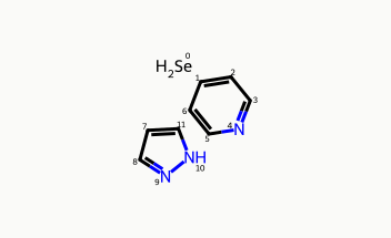 [SeH2].c1ccncc1.c1cn[nH]c1